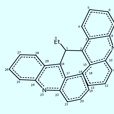 CCC(c1c2ccccc2nc2ccccc12)c1c2ccccc2nc2ccccc12